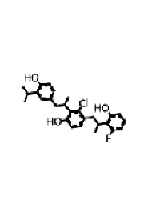 CC(C)c1cc(CC(C)c2c(O)ccc(CC(C)c3c(O)cccc3F)c2Cl)ccc1O